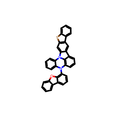 c1ccc2c(c1)N(c1cccc3c1oc1ccccc13)c1cccc3c4cc5c(cc4n-2c13)sc1ccccc15